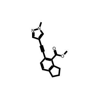 COC(=O)c1c(C#Cc2cnn(C)c2)ccc2c1CCC2